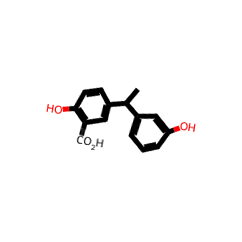 CC(c1cccc(O)c1)c1ccc(O)c(C(=O)O)c1